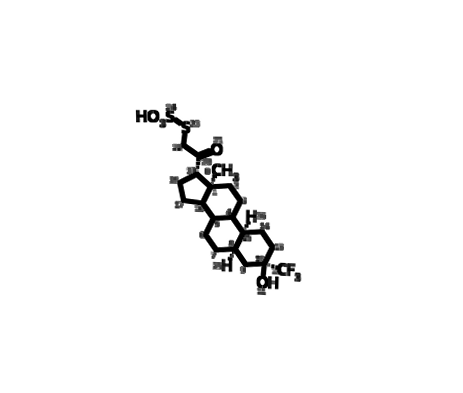 C[C@]12CCC3C(CC[C@@H]4C[C@@](O)(C(F)(F)F)CC[C@H]34)C1CC[C@@H]2C(=O)CSS(=O)(=O)O